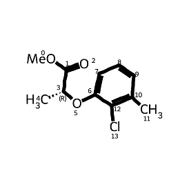 COC(=O)[C@@H](C)Oc1cccc(C)c1Cl